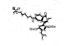 COc1cc(-c2cn(C)c(=O)c3cnc(NCCCCCOS(C)(=O)=O)cc23)c(OC)cc1CN(C)C